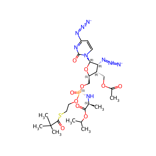 CC(=O)OC[C@H]1[C@@H](N=[N+]=[N-])[C@H](n2ccc(N=[N+]=[N-])nc2=O)O[C@@H]1CO[P@@](=O)(N[C@@H](C)C(=O)OC(C)C)OCCSC(=O)C(C)(C)C